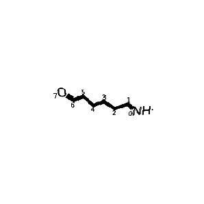 [NH]CCCCCC=O